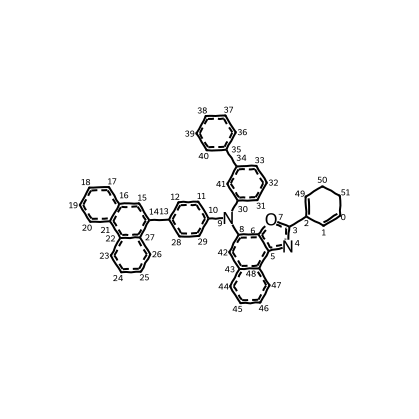 C1=CC(c2nc3c(o2)c(N(c2ccc(-c4cc5ccccc5c5ccccc45)cc2)c2cccc(-c4ccccc4)c2)cc2ccccc23)=CCC1